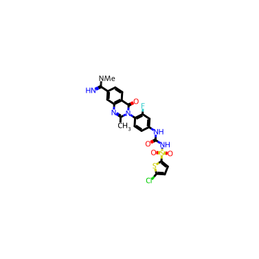 CNC(=N)c1ccc2c(=O)n(-c3ccc(NC(=O)NS(=O)(=O)c4ccc(Cl)s4)cc3F)c(C)nc2c1